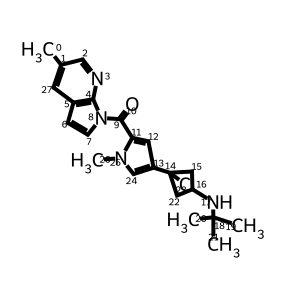 Cc1cnc2c(ccn2C(=O)c2cc(C34CC(NC(C)(C)C)(C3)C4)cn2C)c1